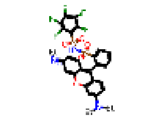 CC/N=c1\ccc2c(-c3ccccc3S(=O)(=O)NS(=O)(=O)c3c(F)c(F)c(F)c(F)c3F)c3ccc(N(CC)CC)cc3oc-2c1